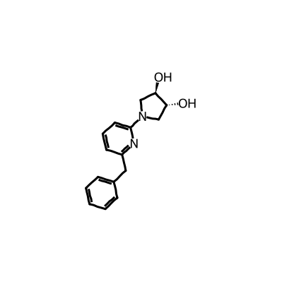 O[C@@H]1CN(c2cccc(Cc3ccccc3)n2)C[C@H]1O